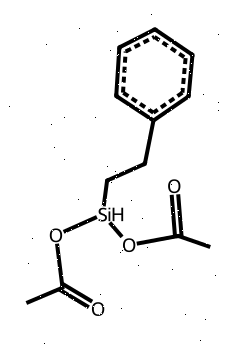 CC(=O)O[SiH](CCc1ccccc1)OC(C)=O